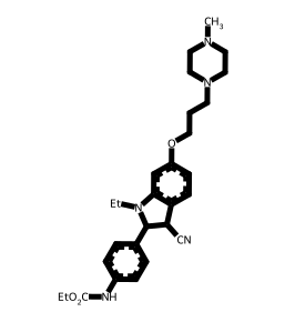 CCOC(=O)Nc1ccc(C2C(C#N)c3ccc(OCCCN4CCN(C)CC4)cc3N2CC)cc1